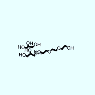 OCC(O)CO.OCC(O)CO.OCCOCCOCCO